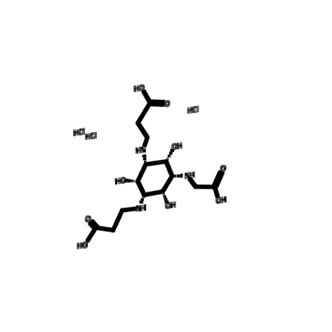 Cl.Cl.Cl.O=C(O)CCN[C@@H]1[C@H](O)[C@H](NCCC(=O)O)[C@H](O)[C@H](NCC(=O)O)[C@@H]1O